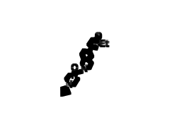 CCn1cc(-c2ccc3c(c2)CCN(CC(=O)N2CCN(C4CCC4)CC2)C3)ccc1=O